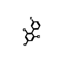 Fc1[c]ccc(-c2c(Cl)cc(Cl)cc2Cl)c1